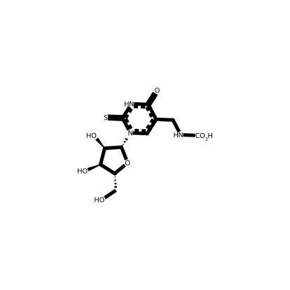 O=C(O)NCc1cn([C@@H]2O[C@H](CO)[C@@H](O)[C@H]2O)c(=S)[nH]c1=O